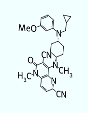 COc1cccc(N(CC2CC2)[C@H]2CC[C@H](N(C)c3c(C#N)c(=O)n(C)c4ccc(C#N)nc34)CC2)c1